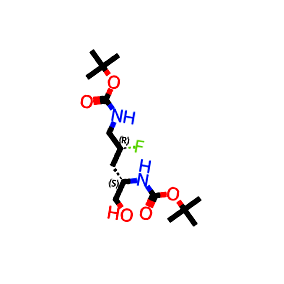 CC(C)(C)OC(=O)NC[C@H](F)C[C@@H](CO)NC(=O)OC(C)(C)C